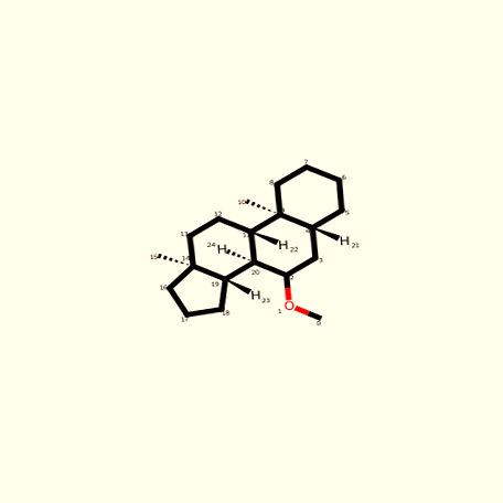 COC1C[C@H]2CCCC[C@]2(C)[C@H]2CC[C@]3(C)CCC[C@H]3[C@H]12